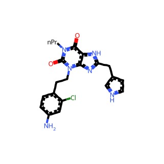 CCCn1c(=O)c2[nH]c(Cc3cc[nH]c3)nc2n(CCc2ccc(N)cc2Cl)c1=O